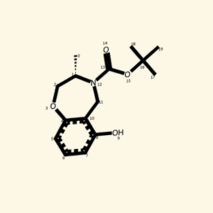 C[C@H]1COc2cccc(O)c2CN1C(=O)OC(C)(C)C